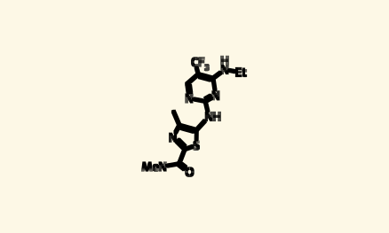 CCNc1nc(Nc2sc(C(=O)NC)nc2C)ncc1C(F)(F)F